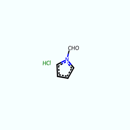 Cl.O=Cn1cccc1